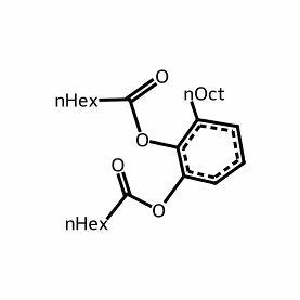 CCCCCCCCc1cccc(OC(=O)CCCCCC)c1OC(=O)CCCCCC